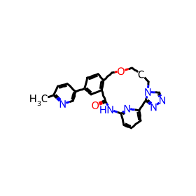 Cc1ccc(-c2ccc3c(c2)C(=O)Nc2cccc(n2)-c2nncn2CCCOC3)cn1